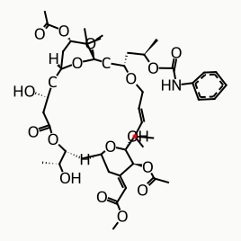 COC(=O)/C=C1\C[C@H]2C[C@H]([C@@H](C)O)OC(=O)C[C@H](O)C[C@@H]3C[C@H](OC(C)=O)C(C)(C)[C@](OC)(C[C@H](C[C@@H](C)OC(=O)Nc4ccccc4)OC/C=C/C(C)(C)[C@](O)(O2)[C@H]1OC(C)=O)O3